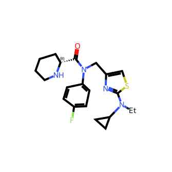 CCN(c1nc(CN(C(=O)[C@H]2CCCCN2)c2ccc(F)cc2)cs1)C1CC1